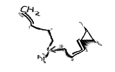 C=CCN(C=C1CC1)C(C)=O